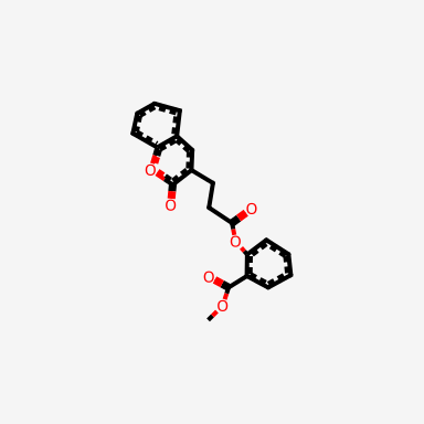 COC(=O)c1ccccc1OC(=O)CCc1cc2ccccc2oc1=O